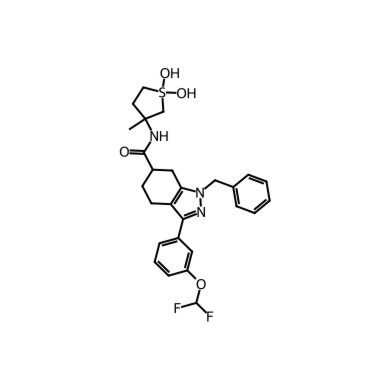 CC1(NC(=O)C2CCc3c(-c4cccc(OC(F)F)c4)nn(Cc4ccccc4)c3C2)CCS(O)(O)C1